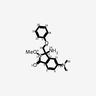 CON1C(=O)c2ccc(N(C)C)cc2C1(N)COc1ccccc1